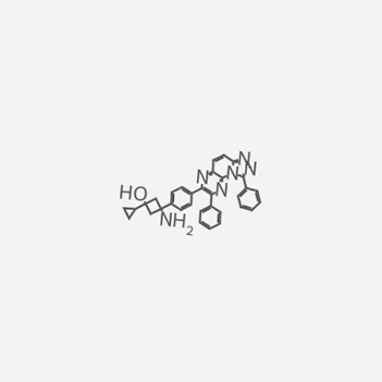 NC1(c2ccc(-c3nc4ccc5nnc(-c6ccccc6)n5c4nc3-c3ccccc3)cc2)CC(O)(C2CC2)C1